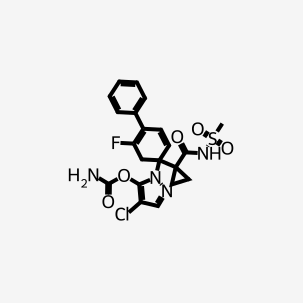 CS(=O)(=O)NC(=O)C1(C2(n3ncc(Cl)c3OC(N)=O)C=CC(c3ccccc3)=C(F)C2)CC1